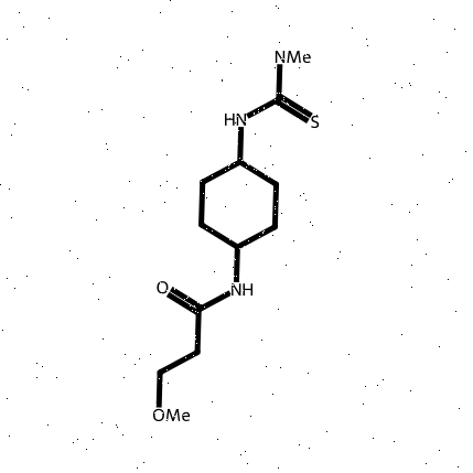 CNC(=S)NC1CCC(NC(=O)CCOC)CC1